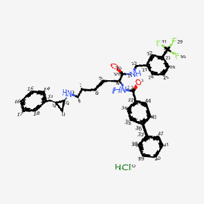 Cl.O=C(NC(CCCCN[C@@H]1C[C@H]1c1ccccc1)C(=O)NCc1cccc(C(F)(F)F)c1)c1ccc(-c2ccccc2)cc1